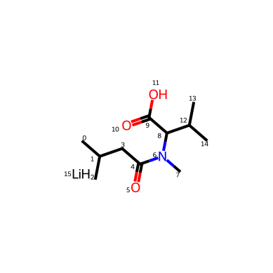 CC(C)CC(=O)N(C)C(C(=O)O)C(C)C.[LiH]